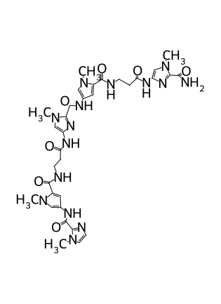 Cn1cc(NC(=O)c2nc(NC(=O)CCNC(=O)c3cc(NC(=O)c4nccn4C)cn3C)cn2C)cc1C(=O)NCCC(=O)Nc1cn(C)c(C(N)=O)n1